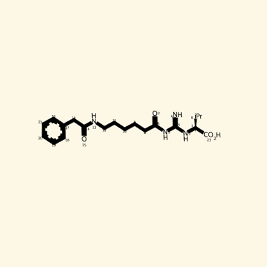 CC(C)[C@H](NC(=N)NC(=O)CCCCCNC(=O)Cc1ccccc1)C(=O)O